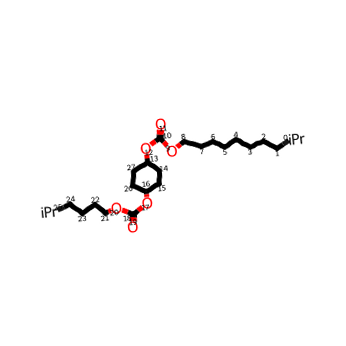 CC(C)CCCCCCCCOC(=O)OC1CCC(OC(=O)OCCCCC(C)C)CC1